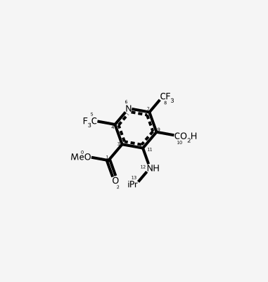 COC(=O)c1c(C(F)(F)F)nc(C(F)(F)F)c(C(=O)O)c1NC(C)C